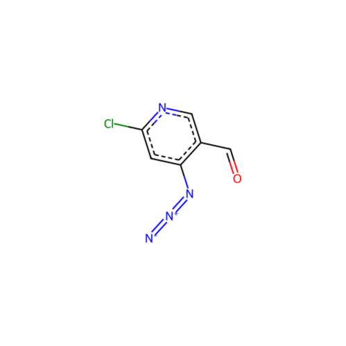 [N-]=[N+]=Nc1cc(Cl)ncc1C=O